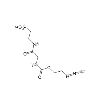 [N-]=[N+]=NCCOC(=O)NCC(=O)NCCC(=O)O